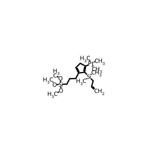 C=CC[Si](C)(C)C1=[C]([Pt]([CH3])([CH3])[CH3])CC=C1CCC[Si](OC)(OC)OC